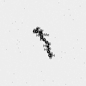 CCc1cc(Nc2ncc(Br)c(Nc3ccc4nccnc4c3P(C)(C)=O)n2)c(OC)cc1N1CCC(N2CCN(C(=O)c3cc(C(=O)Nc4ccc(C5CCC(=O)NC5=O)cc4)c[nH]3)CC2)CC1